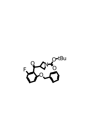 CC(C)(C)OC(=O)N1CC(C(=O)c2c(F)cccc2OCc2ccccc2)C1